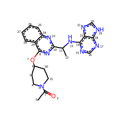 CC(=O)N1CCC(Oc2nc(C(C)Nc3ncnc4[nH]cnc34)nc3ccccc23)CC1